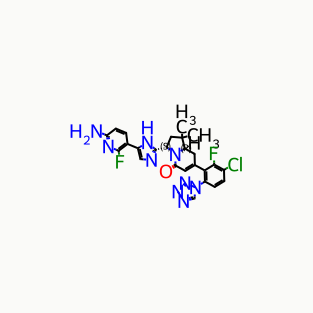 CC1(C)C[C@@H](c2ncc(-c3ccc(N)nc3F)[nH]2)N2C(=O)C=C(c3c(-n4cnnn4)ccc(Cl)c3F)C[C@@H]21